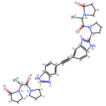 CC(C)C(C(=O)N1CCC[C@H]1c1nc2cc(C#Cc3ccc4[nH]c([C@@H]5CCCN5C(=O)[C@H](C(C)C)N5CCCC5=O)nc4c3)ccc2[nH]1)N1CCCC1=O